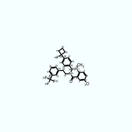 CNc1ccc(Cl)cc1C(=O)N(CCc1cccc(C(F)(F)F)c1)Cc1ccc(C2(F)CCC2)cc1